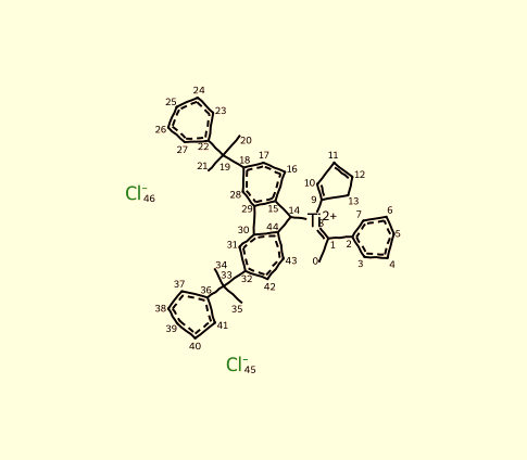 C/[C](c1ccccc1)=[Ti+2](/[C]1=CC=CC1)[CH]1c2ccc(C(C)(C)c3ccccc3)cc2-c2cc(C(C)(C)c3ccccc3)ccc21.[Cl-].[Cl-]